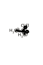 COC(=O)CCCc1nc(-c2ccccc2S(C)(=O)=O)c(-c2ccc(Cl)c(Cl)c2)o1